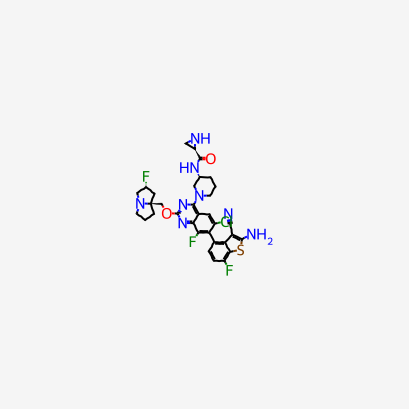 N#Cc1c(N)sc2c(F)ccc(-c3c(Cl)cc4c(N5CCC[C@@H](NC(=O)[C@H]6CN6)C5)nc(OC[C@@]56CCCN5C[C@H](F)C6)nc4c3F)c12